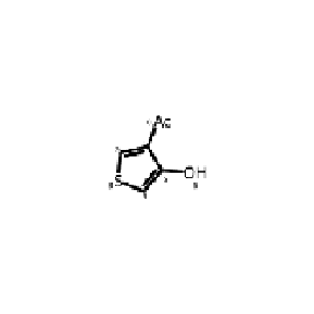 CC(=O)c1cscc1O